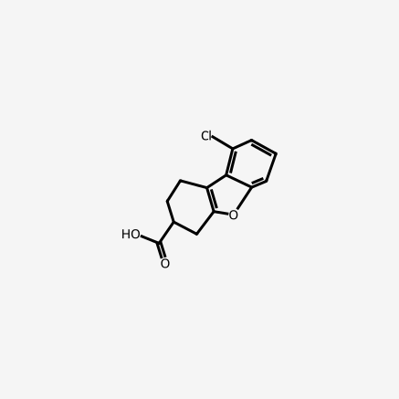 O=C(O)C1CCc2c(oc3cccc(Cl)c23)C1